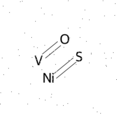 [O]=[V].[S]=[Ni]